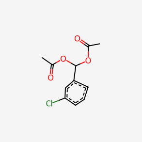 CC(=O)OC(OC(C)=O)c1cccc(Cl)c1